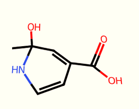 CC1(O)C=C(C(=O)O)C=CN1